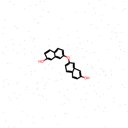 Oc1ccc2ccc(Oc3ccc4ccc(O)cc4c3)cc2c1